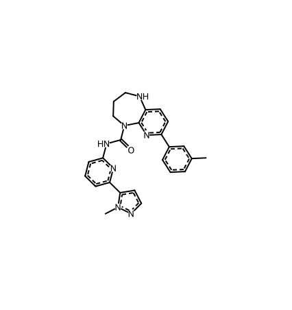 Cc1cccc(-c2ccc3c(n2)N(C(=O)Nc2cccc(-c4ccnn4C)n2)CCCN3)c1